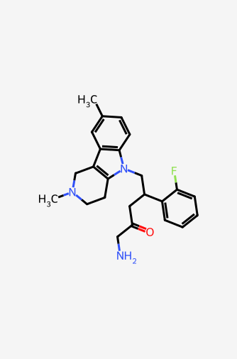 Cc1ccc2c(c1)c1c(n2CC(CC(=O)CN)c2ccccc2F)CCN(C)C1